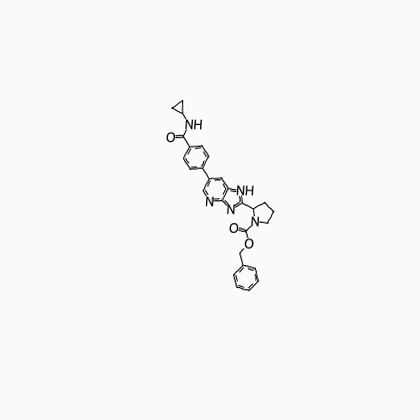 O=C(NC1CC1)c1ccc(-c2cnc3nc(C4CCCN4C(=O)OCc4ccccc4)[nH]c3c2)cc1